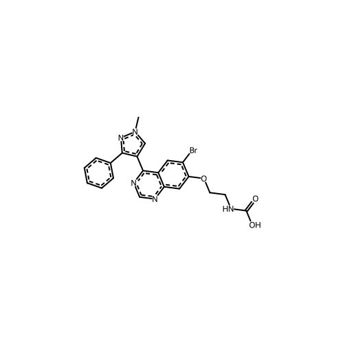 Cn1cc(-c2ncnc3cc(OCCNC(=O)O)c(Br)cc23)c(-c2ccccc2)n1